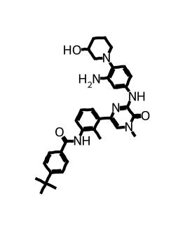 Cc1c(NC(=O)c2ccc(C(C)(C)C)cc2)cccc1-c1cn(C)c(=O)c(Nc2ccc(N3CCCC(O)C3)c(N)c2)n1